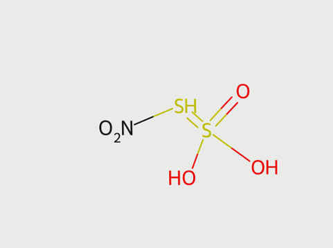 O=[N+]([O-])[SH]=S(=O)(O)O